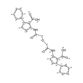 O=C(COCC(=O)Nc1scc(-c2ccccc2)c1C(=O)O)Nc1scc(-c2ccccc2)c1C(=O)O